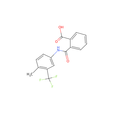 Cc1ccc(NC(=O)c2ccccc2C(=O)O)cc1C(F)(F)F